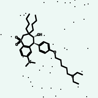 CCCCC1(CCCC)CS(=O)(=O)c2ccc(N(C)C)cc2[C@@H](c2ccc(OCCCCCN(CC)CC)cc2)[C@H]1O